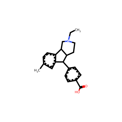 CCN1CCC2C(C1)c1ccc(C)cc1C2c1ccc(C(=O)O)cc1